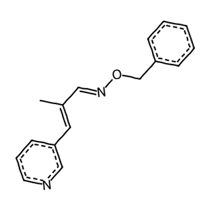 CC(C=NOCc1ccccc1)=Cc1cccnc1